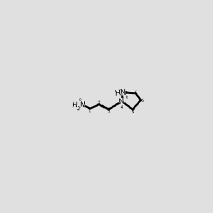 NCCCN1CCCN1